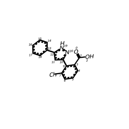 O=C(O)c1cccc(Cl)c1-c1cc(-c2ccccc2)[nH]n1